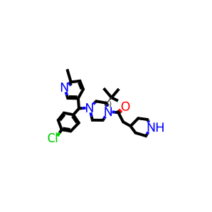 Cc1ccc(C(c2ccc(Cl)cc2)N2CCN(C(=O)CC3CCNCC3)[C@@H](C(C)(C)C)C2)cn1